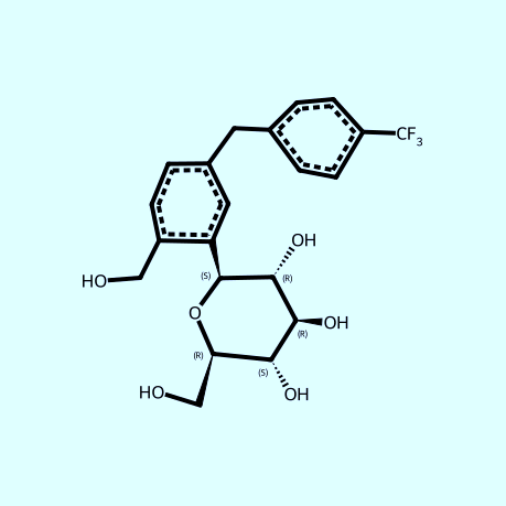 OCc1ccc(Cc2ccc(C(F)(F)F)cc2)cc1[C@@H]1O[C@H](CO)[C@@H](O)[C@H](O)[C@H]1O